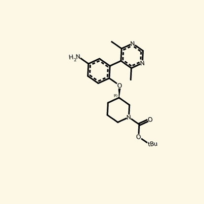 Cc1ncnc(C)c1-c1cc(N)ccc1O[C@@H]1CCCN(C(=O)OC(C)(C)C)C1